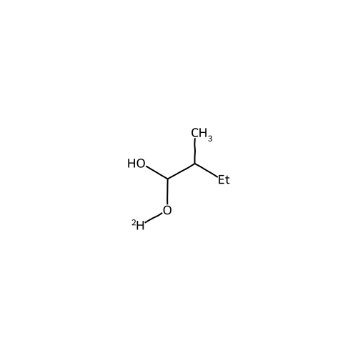 [2H]OC(O)C(C)CC